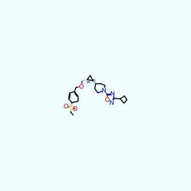 CCS(=O)(=O)C1C=CC(COC[C@@H]2C[C@@H]2C2CCN(c3nc(C4CCC4)no3)CC2)=CC1